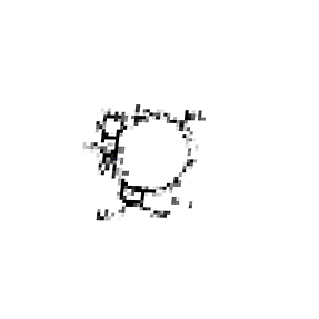 COc1cc2cc(c1OC)CN(C)CCCCON(C)CCCNc1ncnc3c1/C(=C/N2)C(=O)N3